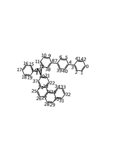 c1ccc(-c2ccc(-c3cccc(N(c4ccccc4)c4ccc5c(ccc6ccc7ccccc7c65)c4)c3)cc2)cc1